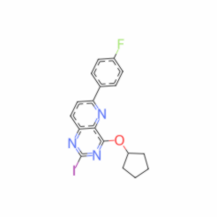 Fc1ccc(-c2ccc3nc(I)nc(OC4CCCC4)c3n2)cc1